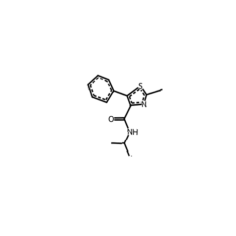 [CH2]C(C)NC(=O)c1nc(C)sc1-c1ccccc1